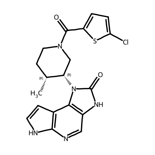 C[C@@H]1CCN(C(=O)c2ccc(Cl)s2)C[C@@H]1n1c(=O)[nH]c2cnc3[nH]ccc3c21